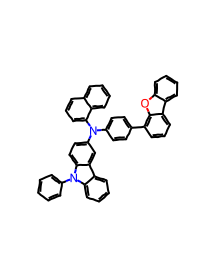 c1ccc(-n2c3ccccc3c3cc(N(c4ccc(-c5cccc6c5oc5ccccc56)cc4)c4cccc5ccccc45)ccc32)cc1